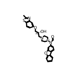 Cc1nc2cc(OC[C@H](O)CN3CCN(N(C=O)c4ccc5c(c4)oc4ccccc45)CC3)ccc2s1